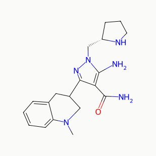 CN1CC(c2nn(C[C@@H]3CCCN3)c(N)c2C(N)=O)Cc2ccccc21